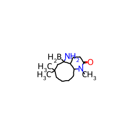 BC1(N)CC(C)(C)CCCCC2C1CCC(=O)N2C